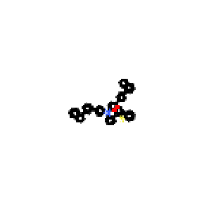 c1cc(-c2ccc(N(c3ccc(-c4ccc(-c5cccc6ccccc56)cc4)cc3)c3ccccc3-c3cccc4c3sc3ccccc34)cc2)cc(-c2cccc3ccccc23)c1